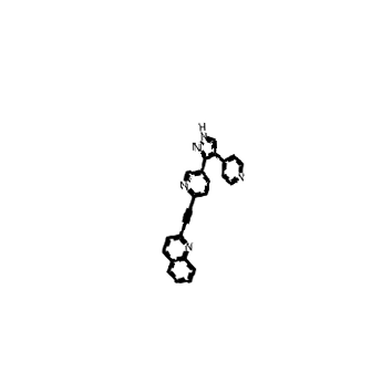 C(#Cc1ccc2ccccc2n1)c1ccc(-c2n[nH]cc2-c2ccncc2)cn1